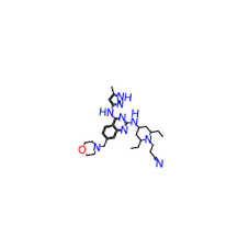 CCC1CC(Nc2nc(Nc3cc(C)[nH]n3)c3ccc(CN4CCOCC4)cc3n2)CC(CC)N1CCC#N